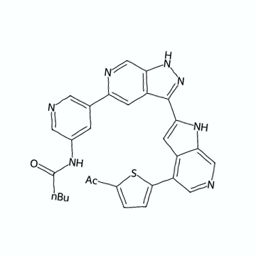 CCCCC(=O)Nc1cncc(-c2cc3c(-c4cc5c(-c6ccc(C(C)=O)s6)cncc5[nH]4)n[nH]c3cn2)c1